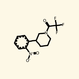 O=C(N1CCCC(c2ccccc2[N+](=O)[O-])C1)C(F)(F)F